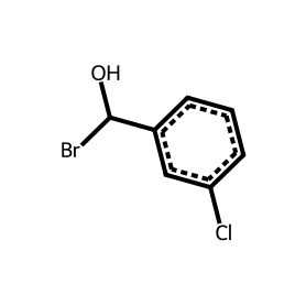 OC(Br)c1cccc(Cl)c1